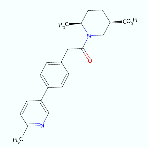 Cc1ccc(-c2ccc(CC(=O)N3C[C@H](C(=O)O)CC[C@@H]3C)cc2)cn1